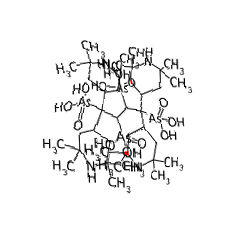 CC1(C)CC(C(C2CC(C)(C)NC(C)(C)C2)(C(C(C(C2CC(C)(C)NC(C)(C)C2)(C2CC(C)(C)NC(C)(C)C2)[As](=O)(O)O)[As](=O)(O)O)[As](=O)(O)O)[As](=O)(O)O)CC(C)(C)N1